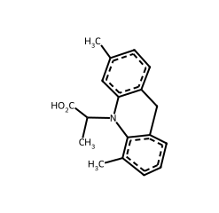 Cc1ccc2c(c1)N(C(C)C(=O)O)c1c(C)cccc1C2